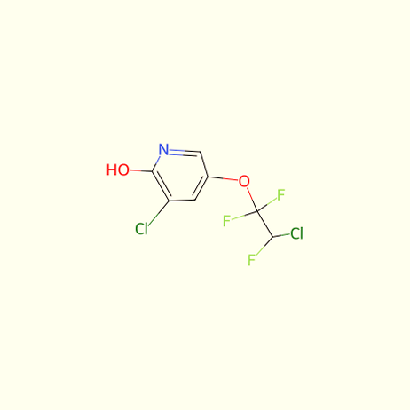 Oc1ncc(OC(F)(F)C(F)Cl)cc1Cl